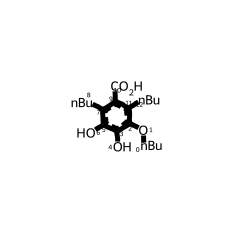 CCCCOc1c(O)c(O)c(CCCC)c(C(=O)O)c1CCCC